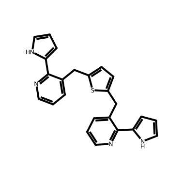 c1c[nH]c(-c2ncccc2Cc2ccc(Cc3cccnc3-c3ccc[nH]3)s2)c1